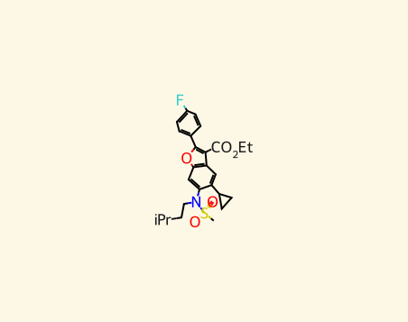 CCOC(=O)c1c(-c2ccc(F)cc2)oc2cc(N(CCC(C)C)S(C)(=O)=O)c(C3CC3)cc12